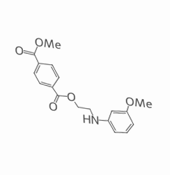 COC(=O)c1ccc(C(=O)OCCNc2cccc(OC)c2)cc1